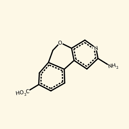 Nc1cc2c(cn1)OCc1cc(C(=O)O)ccc1-2